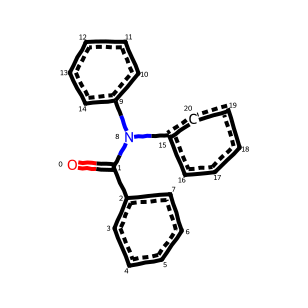 O=C(c1ccccc1)N(c1ccccc1)c1ccccc1